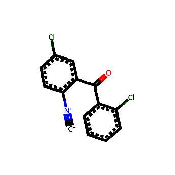 [C-]#[N+]c1ccc(Cl)cc1C(=O)c1ccccc1Cl